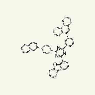 c1cc(-c2nc(-c3ccc(-c4ccc5ccccc5c4)cc3)nc(-c3cccc4c3oc3ccccc34)n2)cc(-c2cc3ccccc3c3ccccc23)c1